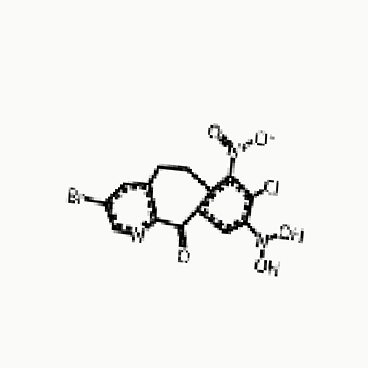 O=C1c2cc(N(O)O)c(Cl)c([N+](=O)[O-])c2CCc2cc(Br)cnc21